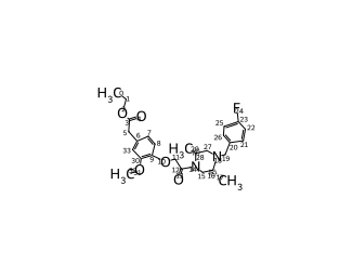 CCOC(=O)Cc1ccc(OCC(=O)N2C[C@@H](C)N(Cc3ccc(F)cc3)C[C@@H]2C)c(OC)c1